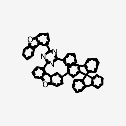 c1ccc(-c2nc(-c3cccc4oc5ccccc5c34)nc(-c3cccc4oc5ccc(-c6ccc7c(c6)C6(c8ccccc8-c8ccccc86)c6ccccc6-7)cc5c34)n2)cc1